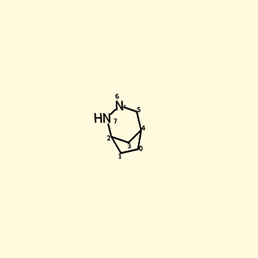 C1CC2CC1C[N]N2